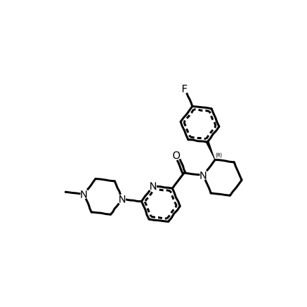 CN1CCN(c2cccc(C(=O)N3CCCC[C@@H]3c3ccc(F)cc3)n2)CC1